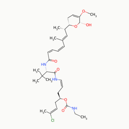 CCNC(=O)O[C@H](C/C=C\NC(=O)[C@@H](NC(=O)\C=C/C=C\C(C)=C\[C@H](C)[C@@H]1CC=C(OC)[C@H](O)O1)C(C)(C)C)C/C=C(\C)Cl